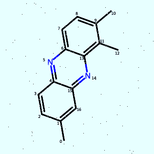 Cc1ccc2nc3ccc(C)c(C)c3nc2c1